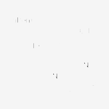 CCCCCCC(C)(C)c1ncon1